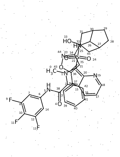 Cn1c(C(=O)Nc2cc(F)c(F)c(F)c2)c2cccnc2c1S(=O)(=O)NC1C2CCC1CC(O)(c1cc(-c3ccccc3)on1)C2